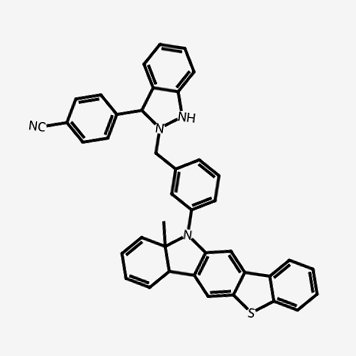 CC12C=CC=CC1c1cc3sc4ccccc4c3cc1N2c1cccc(CN2Nc3ccccc3C2c2ccc(C#N)cc2)c1